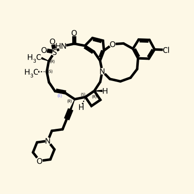 C[C@@H]1[C@@H](C)C/C=C/[C@H](C#CCCN2CCOCC2)[C@@H]2CC[C@H]2CN2CCCCc3cc(Cl)ccc3COc3ccc(cc32)C(=O)NS1(=O)=O